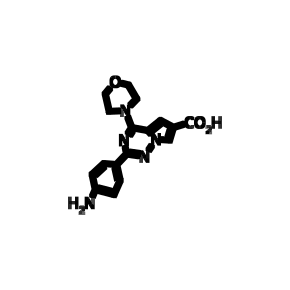 Nc1ccc(-c2nc(N3CCOCC3)c3cc(C(=O)O)cn3n2)cc1